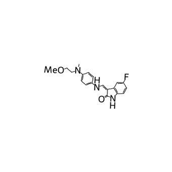 COCCN(C)c1ccc(NC=C2C(=O)Nc3ccc(F)cc32)cc1